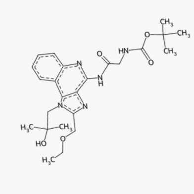 CCOCc1nc2c(NC(=O)CNC(=O)OC(C)(C)C)nc3ccccc3c2n1CC(C)(C)O